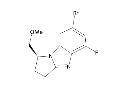 COC[C@@H]1CCc2nc3c(F)cc(Br)cc3n21